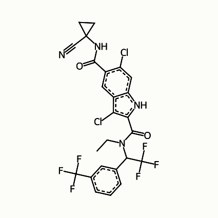 CCN(C(=O)c1[nH]c2cc(Cl)c(C(=O)NC3(C#N)CC3)cc2c1Cl)C(c1cccc(C(F)(F)F)c1)C(F)(F)F